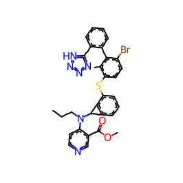 CCCN(c1ccncc1C(=O)OC)C1c2cccc(Sc3ccc(Br)c(-c4ccccc4-c4nnn[nH]4)c3C)c21